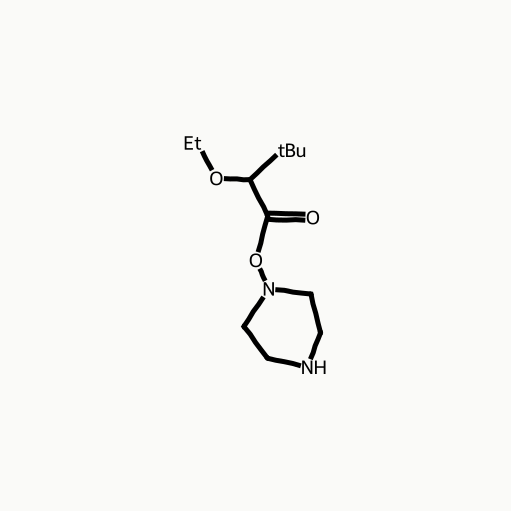 CCOC(C(=O)ON1CCNCC1)C(C)(C)C